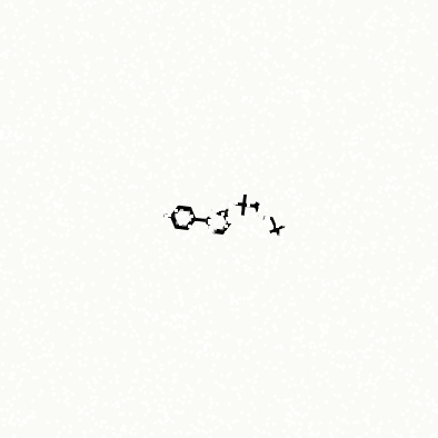 CC(C)(Nc1ccnc(-c2ccc(O)cc2)n1)C(=O)NCC(F)(F)F